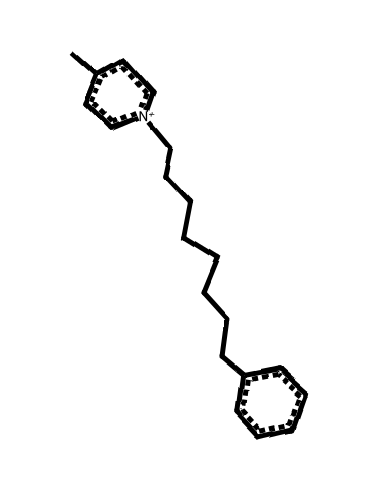 Cc1cc[n+](CCCCCCCCc2ccccc2)cc1